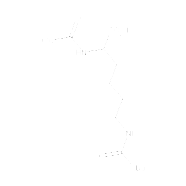 CC(C)(C)C(=O)NCCCCC(NC(=O)C(C)(C)C)C(=O)O